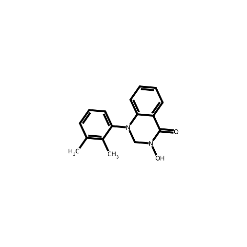 Cc1cccc(N2CN(O)C(=O)c3ccccc32)c1C